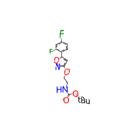 CC(C)(C)OC(=O)NCCOc1cc(-c2ccc(F)cc2F)on1